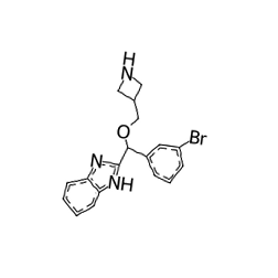 Brc1cccc(C(OCC2CNC2)c2nc3ccccc3[nH]2)c1